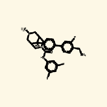 CN1CC2CN(C(=O)Nc3cc(F)cc(F)c3)CC(C1)C2(O)c1ccc(-c2ccc(CN)c(F)c2)cc1